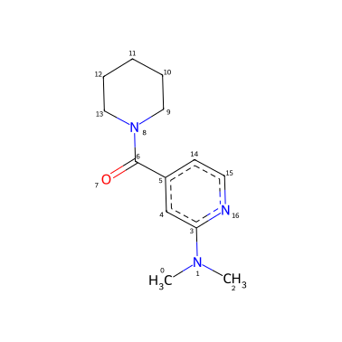 CN(C)c1cc(C(=O)N2CCCCC2)ccn1